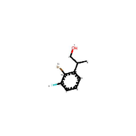 [CH2]C(CO)c1cccc(F)c1Br